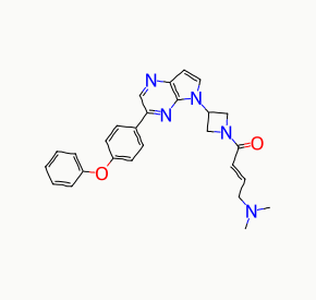 CN(C)C/C=C/C(=O)N1CC(n2ccc3ncc(-c4ccc(Oc5ccccc5)cc4)nc32)C1